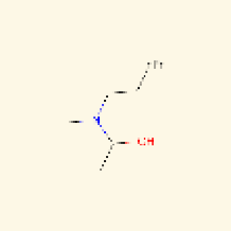 CCCC[CH]N(C)C(C)O